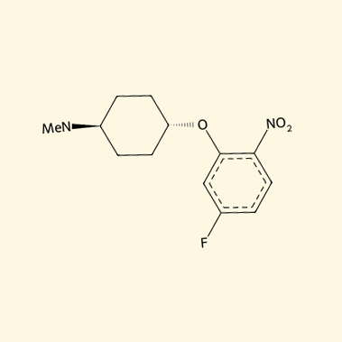 CN[C@H]1CC[C@H](Oc2cc(F)ccc2[N+](=O)[O-])CC1